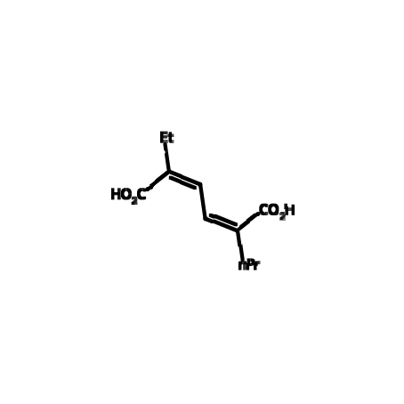 CCCC(=CC=C(CC)C(=O)O)C(=O)O